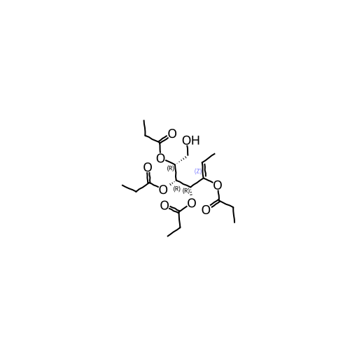 C/C=C(\OC(=O)CC)[C@H](OC(=O)CC)[C@H](OC(=O)CC)[C@@H](CO)OC(=O)CC